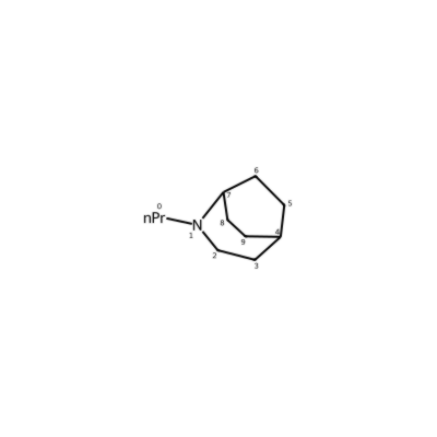 CCCN1CCC2CCC1CC2